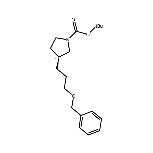 CC(C)(C)OC(=O)N1CC[C@H](CCCOCc2ccccc2)C1